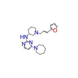 C(=Cc1ccco1)CN1CCCC(Nc2nccc(N3CCCCCC3)n2)C1